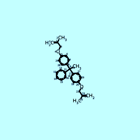 C=C(C)COc1ccc(C(C)(c2ccccc2)c2ccc(OCC(=C)C)cc2)cc1